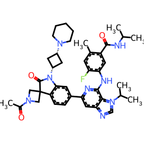 CC(=O)N1CC2(C1)C(=O)N([C@H]1C[C@@H](N3CCCCC3)C1)c1cc(-c3cc4ncn(C(C)C)c4c(Nc4cc(C(=O)NC(C)C)c(C)cc4F)n3)ccc12